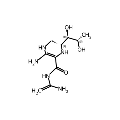 C=C(N)NC(=O)C1=C(N)NC[C@H]([C@@H](O)[C@H](C)O)N1